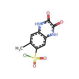 Cc1cc2[nH]c(=O)c(=O)[nH]c2cc1S(=O)(=O)Cl